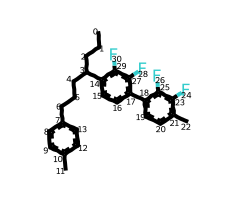 CCCC(CCCc1ccc(C)cc1)c1ccc(-c2ccc(C)c(F)c2F)c(F)c1F